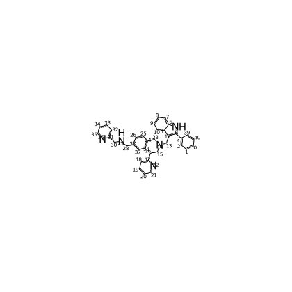 c1ccc(-c2[nH]c3ccccc3c2CN(CCc2ccccn2)Cc2ccc(CNCc3ccccn3)cc2)cc1